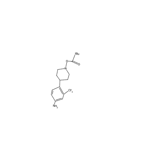 CC(C)(C)C(=O)ON1CCC(c2ccc(N)cc2C(F)(F)F)CC1